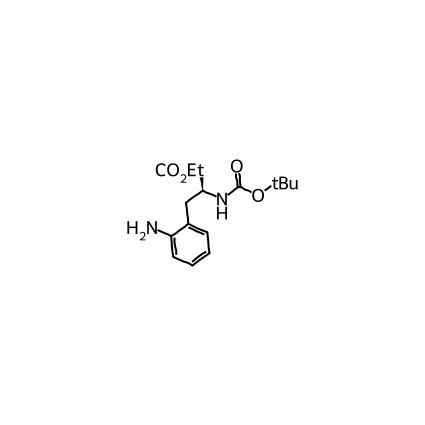 CCOC(=O)[C@H](Cc1ccccc1N)NC(=O)OC(C)(C)C